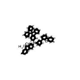 CC1(C)c2ccccc2-c2ccc(N(c3cccc(-c4cccc5c4oc4ccccc45)c3)c3ccc4c(c3)-c3ccccc3C4(c3ccccc3)c3ccccc3)cc21